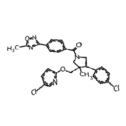 Cc1nc(-c2ccc(C(=O)N3CC(c4ccc(Cl)cc4)C(C)(COc4ccc(Cl)cn4)C3)cc2)no1